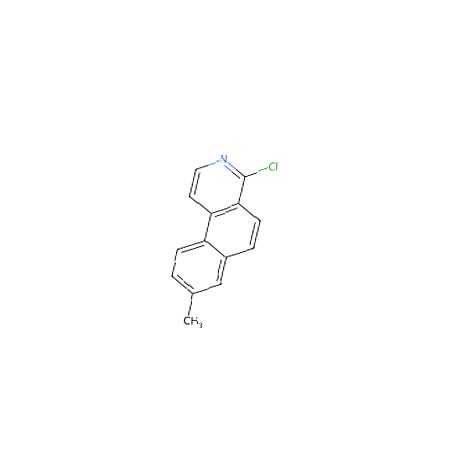 Cc1ccc2c(ccc3c(Cl)nccc32)c1